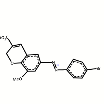 CCOC(=O)C1=Cc2cc(/N=N/c3ccc(Br)cc3)cc(OC)c2OC1